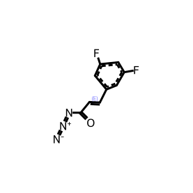 [N-]=[N+]=NC(=O)/C=C/c1cc(F)cc(F)c1